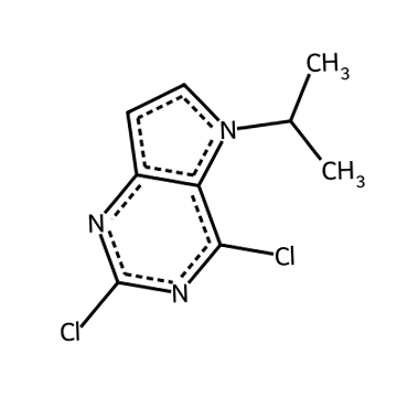 CC(C)n1ccc2nc(Cl)nc(Cl)c21